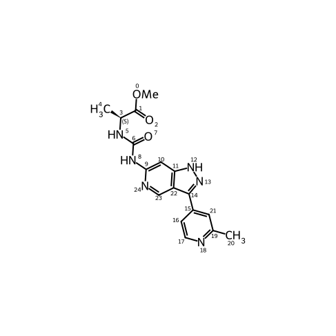 COC(=O)[C@H](C)NC(=O)Nc1cc2[nH]nc(-c3ccnc(C)c3)c2cn1